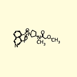 COCC(=O)N(C)[C@@H]1CCN(S(=O)(=O)c2cccc3cncc(F)c23)C1